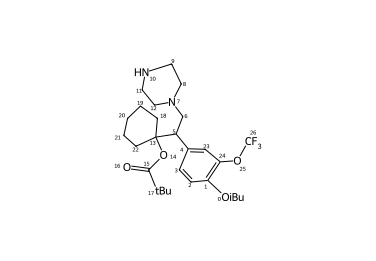 CC(C)COc1ccc(C(CN2CCNCC2)C2(OC(=O)C(C)(C)C)CCCCC2)cc1OC(F)(F)F